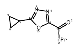 CC[CH]C(=O)c1nnc(C2CC2)o1